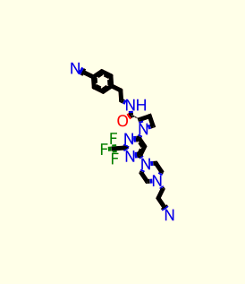 N#CCCN1CCN(c2cc(N3CC[C@H]3C(=O)NCCc3ccc(C#N)cc3)nc(C(F)(F)F)n2)CC1